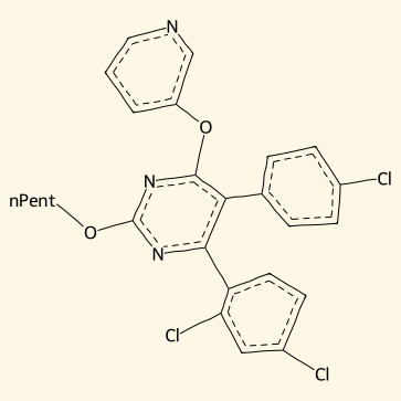 CCCCCOc1nc(Oc2cccnc2)c(-c2ccc(Cl)cc2)c(-c2ccc(Cl)cc2Cl)n1